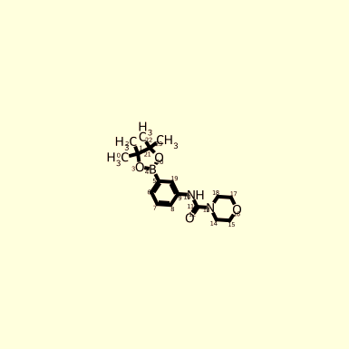 CC1(C)OB(c2cccc(NC(=O)N3CCOCC3)c2)OC1(C)C